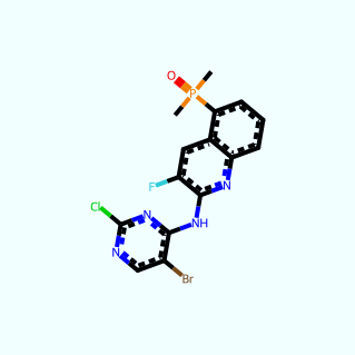 CP(C)(=O)c1cccc2nc(Nc3nc(Cl)ncc3Br)c(F)cc12